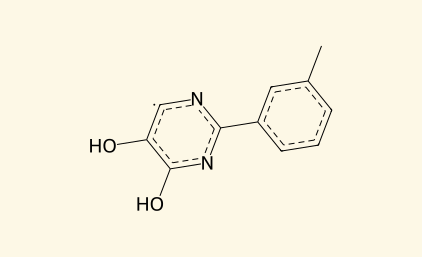 Cc1cccc(-c2n[c]c(O)c(O)n2)c1